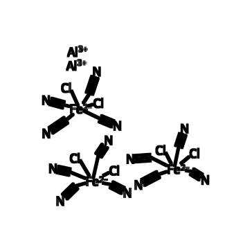 N#[C][Fe-2]([Cl])([Cl])([C]#N)([C]#N)[C]#N.N#[C][Fe-2]([Cl])([Cl])([C]#N)([C]#N)[C]#N.N#[C][Fe-2]([Cl])([Cl])([C]#N)([C]#N)[C]#N.[Al+3].[Al+3]